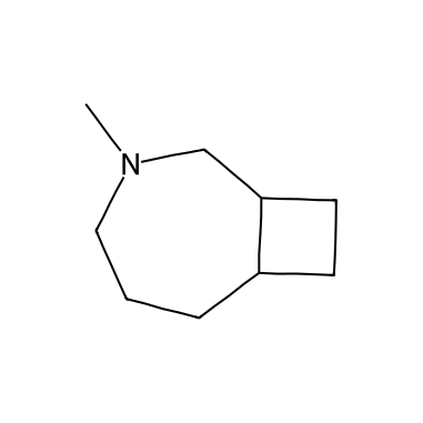 CN1CCCC2CCC2C1